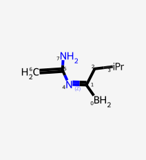 B/C(CC(C)C)=N/C(=C)N